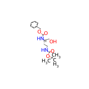 CC(C)(C)OC(=O)NCC[C@@H](CO)NC(=O)OCc1ccccc1